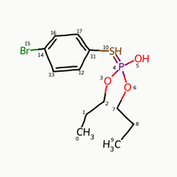 CCCOP(O)(OCCC)=[SH]c1ccc(Br)cc1